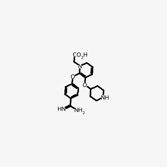 N=C(N)c1ccc(OC2=C(OC3CCNCC3)C=CCN2CC(=O)O)cc1